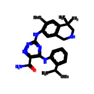 COc1cc2c(cc1Nc1nnc(C(N)=O)c(Nc3ccccc3C(C)OC)n1)CNCC2(C)C